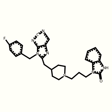 O=c1[nH]c2ccccc2n1CCCN1CCC(Cc2nc3cncnc3n2Cc2ccc(F)cc2)CC1